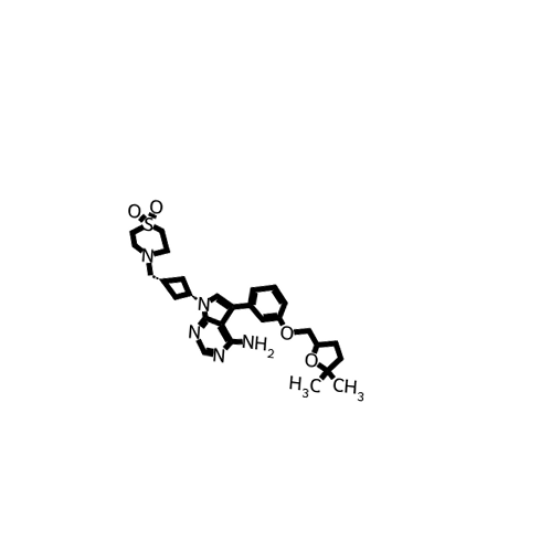 CC1(C)CCC(COc2cccc(-c3cn([C@H]4C[C@@H](CN5CCS(=O)(=O)CC5)C4)c4ncnc(N)c34)c2)O1